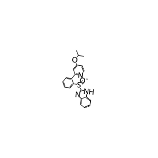 CC(C)Oc1ccnc(-c2ccccc2[S+]([O-])c2nc3ccccc3[nH]2)c1